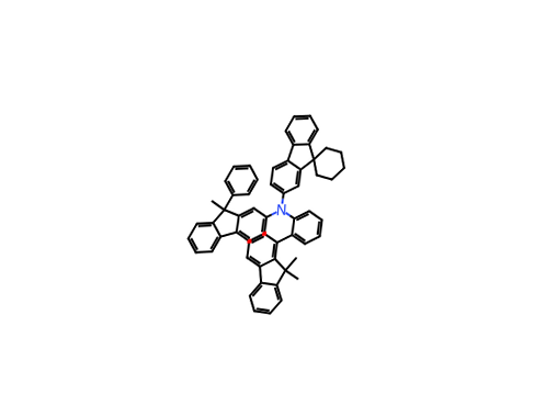 CC1(C)c2ccccc2-c2cccc(-c3ccccc3N(c3ccc4c(c3)C3(CCCCC3)c3ccccc3-4)c3ccc4c(c3)C(C)(c3ccccc3)c3ccccc3-4)c21